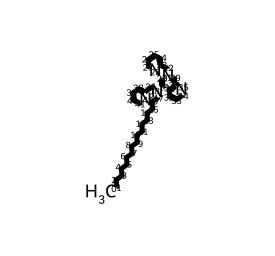 CCCCCCCCCCCCCCCCCCN(C=CN(Cc1ccccn1)Cc1ccccn1)Cc1ccccn1